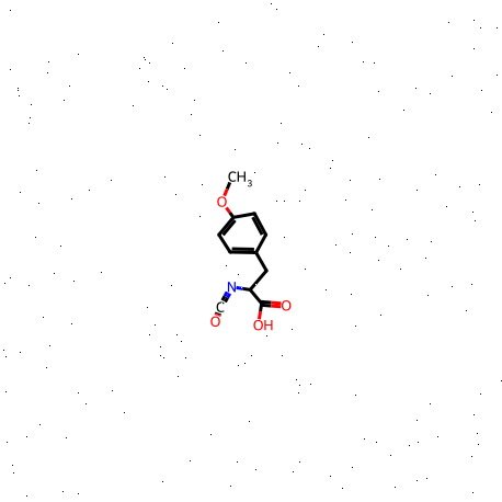 COc1ccc(CC(N=C=O)C(=O)O)cc1